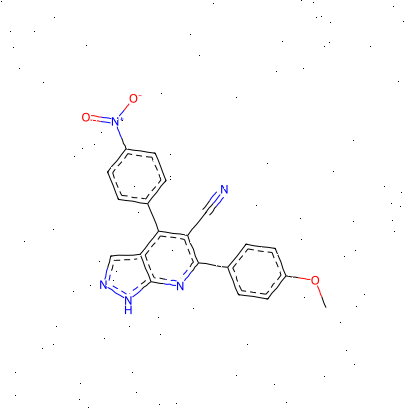 COc1ccc(-c2nc3[nH]ncc3c(-c3ccc([N+](=O)[O-])cc3)c2C#N)cc1